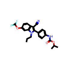 CCCn1c(-c2ccc(NC(=O)OC(C)C)cc2)c(C#N)c2ccc(OC(F)F)cc21